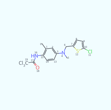 Cc1cc(N(C)Cc2ccc(Cl)s2)ccc1NC(=O)C(Cl)(Cl)Cl